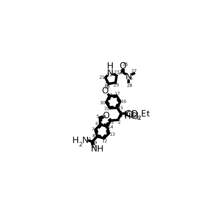 CCOC(=O)C(Cc1occ2cc(C(=N)N)ccc12)c1ccc(O[C@@H]2CN[C@H](C(=O)N(C)C)C2)cc1.Cl.Cl